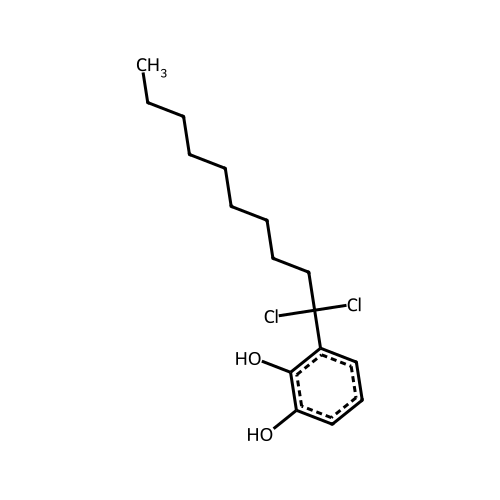 CCCCCCCCCC(Cl)(Cl)c1cccc(O)c1O